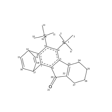 C[Si](C)(C)c1c2c(c3c(c1[Si](C)(C)C)C1C=CC3C=C1)C(=O)C1=C2CCCC1